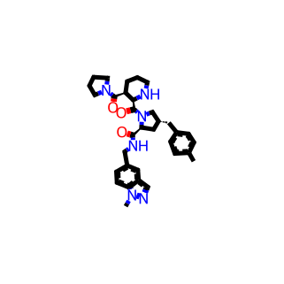 Cc1ccc(C[C@@H]2C[C@@H](C(=O)NCc3ccc4c(cnn4C)c3)N(C(=O)[C@@H]3NCCC[C@@H]3C(=O)N3CCCC3)C2)cc1